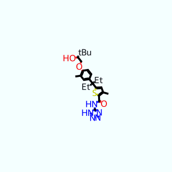 CCC(CC)(c1ccc(OCC(O)C(C)(C)C)c(C)c1)c1cc(C)c(C(=O)Nc2nnn[nH]2)s1